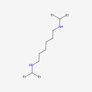 CCC(CC)NCCCCCCNC(CC)CC